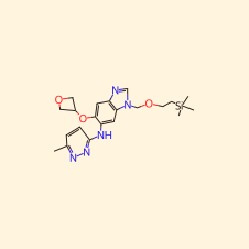 Cc1ccc(Nc2cc3c(cc2OC2COC2)ncn3COCC[Si](C)(C)C)nn1